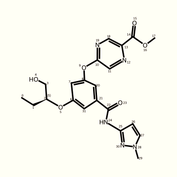 CC[C@@H](CO)Oc1cc(Oc2cnc(C(=O)OC)cn2)cc(C(=O)Nc2ccn(C)n2)c1